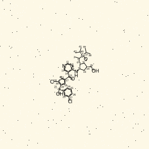 CC(C)[Si](O[C@H]1C[C@H](Nc2ncncc2C(=O)c2cc([C@](C)(O)c3cccc(Cl)c3)c(Cl)s2)C[C@@H]1CO)(C(C)C)C(C)C